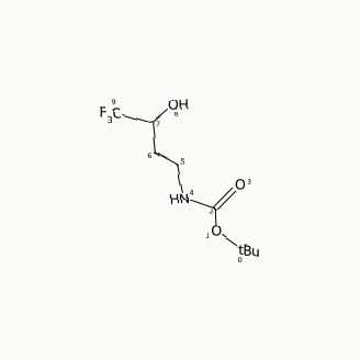 CC(C)(C)OC(=O)NCCC(O)C(F)(F)F